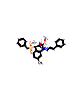 CCC[C@](C(=O)NN)(c1ccc(C)cc1[C@H](C/C=C/c1ccccc1)C(=O)OC(C)(C)C)S(=O)(=O)Cc1ccccc1